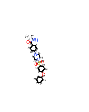 CNC(=O)c1ccc(N2CCN(S(=O)(=O)c3ccc(Oc4ccccc4)cc3)CC2)cc1